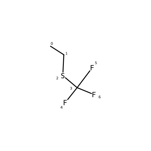 CCSC(F)(F)F